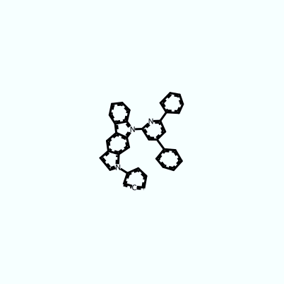 c1ccc(-c2cc(-c3ccccc3)nc(-n3c4ccccc4c4cc5ccn(-c6ccccc6)c5cc43)c2)cc1